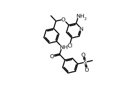 CC(Oc1cc(Cl)cnc1N)c1cccc(NC(=O)c2cccc(S(C)(=O)=O)c2)c1